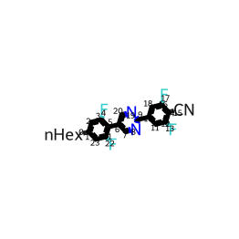 CCCCCCc1cc(F)c(-c2cnc(-c3cc(F)c(C#N)c(F)c3)nc2)c(F)c1